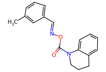 Cc1cccc(C=NOC(=O)N2CCCc3ccccc32)c1